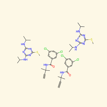 C#CC(C)(C)NC(=O)c1cc(Cl)cc(Cl)c1.C#CC(C)(C)NC(=O)c1cc(Cl)cc(Cl)c1.CSc1nc(NC(C)C)nc(NC(C)C)n1.CSc1nc(NC(C)C)nc(NC(C)C)n1